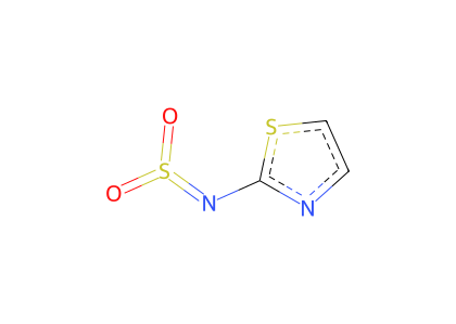 O=S(=O)=Nc1nccs1